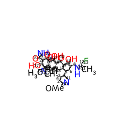 COc1ccc(-c2cc(CNC(C)CF)c(O)c3c2C[C@H]2C[C@H]4[C@@H](N(C)C)C(O)=C(C(N)=O)C(=O)[C@@]4(O)C(O)=C2C3=O)cn1